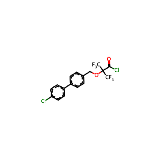 O=C(Cl)C(OCc1ccc(-c2ccc(Cl)cc2)cc1)(C(F)(F)F)C(F)(F)F